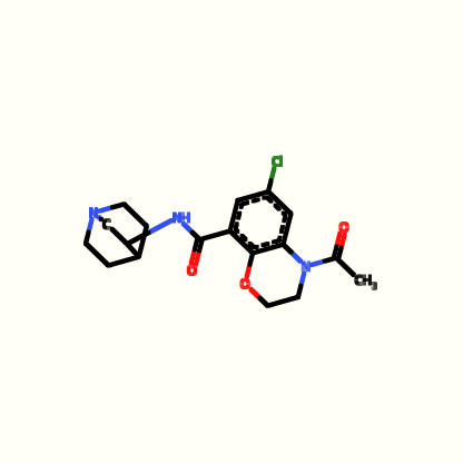 CC(=O)N1CCOc2c(C(=O)NC3CN4CCC3CC4)cc(Cl)cc21